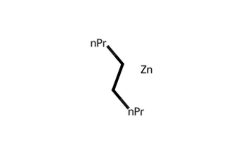 CCCCCCCC.[Zn]